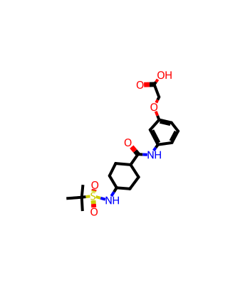 CC(C)(C)S(=O)(=O)NC1CCC(C(=O)Nc2cccc(OCC(=O)O)c2)CC1